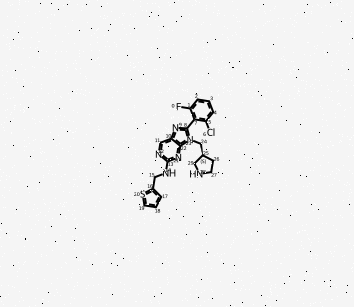 Fc1cccc(Cl)c1-c1nc2cnc(NCc3cccs3)nc2n1C[C@H]1CCNC1